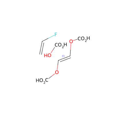 C=CF.O=C(O)O.O=C(O)O/C=C/OC(=O)O